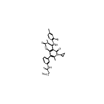 COCC(=O)Nc1cccc(-c2c(C)n(C3CC3)c(=O)c3c(Nc4ccc(C)cc4F)c(C)c(=O)oc23)c1